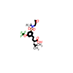 CC(C)C[C@H](CCc1cc(OC(F)(F)F)cc(S(=O)(=O)N(C)CC2CO2)c1)C(=O)O